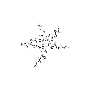 C=CCOC(=O)OC[C@H]1O[C@@H](Oc2ccc(CO)cc2[N+](=O)[O-])[C@H](OC(=O)OCC=C)[C@@H](OC(=O)OCC=C)[C@@H]1OC(=O)OCC=C